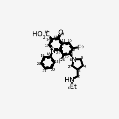 CCNCC1CCN(c2c(F)cc3c(=O)c(C(=O)O)cn(-c4ccccc4)c3c2F)C1